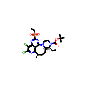 CC[C@H]1[C@@H]2CC[C@@H](C)c3nc(Cl)c(F)c4nc(S(=O)(=O)CC)nc(c34)N2CCN1C(=O)OC(C)(C)C